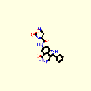 N#CC[C@H](NC(=O)O)C(=O)Nc1cc2c3c(c(-c4ccccc4)[nH]c3c1)C=NNC2=O